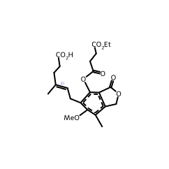 CCOC(=O)CCC(=O)Oc1c(C/C=C(\C)CCC(=O)O)c(OC)c(C)c2c1C(=O)OC2